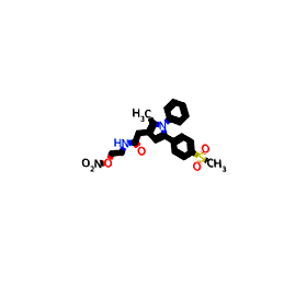 Cc1c(CC(=O)NCCO[N+](=O)[O-])cc(-c2ccc(S(C)(=O)=O)cc2)n1-c1ccccc1